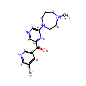 CN1CCCN(c2cncc(C(=O)c3cncc(Br)c3)n2)CC1